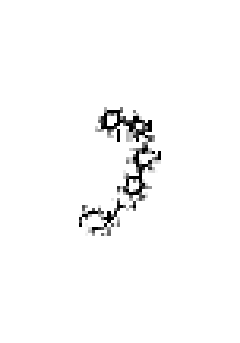 c1ccc(-c2cnc(Cc3ccc(-c4ccc(OCCN5CCOCC5)cc4)cn3)[nH]2)cc1